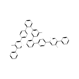 Bc1cc(-c2ccccc2-c2ccc(-c3cc(C)c(-c4ccccc4)cn3)cc2)cc(-c2ccccc2-c2ccc(-c3cc(C)c(-c4ccccc4)cn3)cc2)c1